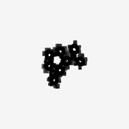 c1ccc(N(c2ccccc2)c2ccc3c(c2)c2ccccc2c2ccccc2c2ccccc2c2c3ccc3c4ccccc4oc32)cc1